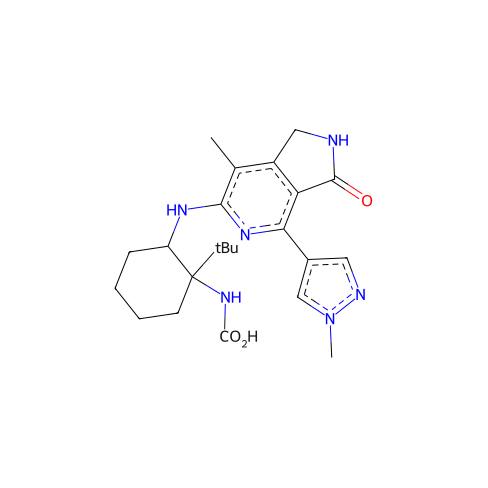 Cc1c(NC2CCCCC2(NC(=O)O)C(C)(C)C)nc(-c2cnn(C)c2)c2c1CNC2=O